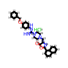 Cl.N=C(Nc1ccc(OCc2ccccc2)cc1)N1CCN(/C=C2/N=C(c3cccc4ccccc34)OC2=O)CC1